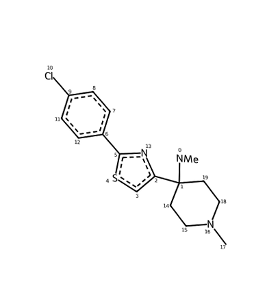 CNC1(c2csc(-c3ccc(Cl)cc3)n2)CCN(C)CC1